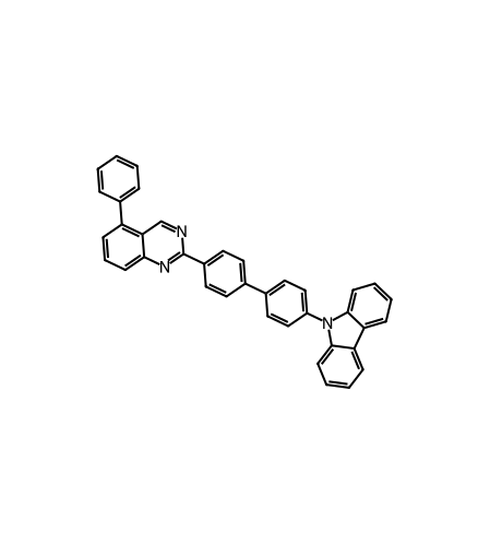 c1ccc(-c2cccc3nc(-c4ccc(-c5ccc(-n6c7ccccc7c7ccccc76)cc5)cc4)ncc23)cc1